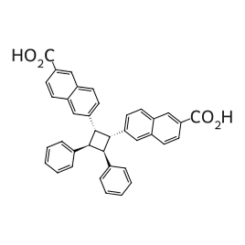 O=C(O)c1ccc2cc([C@@H]3[C@@H](c4ccccc4)[C@@H](c4ccccc4)[C@@H]3c3ccc4cc(C(=O)O)ccc4c3)ccc2c1